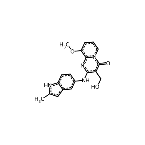 COc1cccn2c(=O)c(CO)c(Nc3ccc4[nH]c(C)cc4c3)nc12